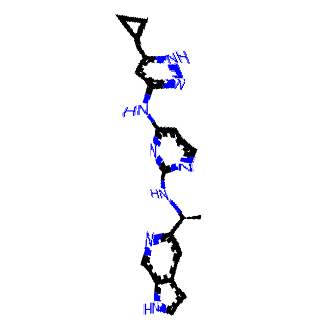 C[C@H](Nc1nccc(Nc2cc(C3CC3)[nH]n2)n1)c1cc2cc[nH]c2cn1